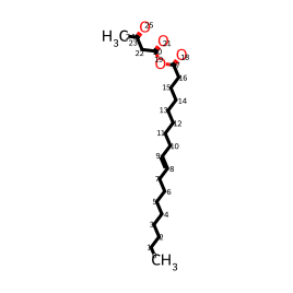 CCCCCCCCC=CCCCCCCCC(=O)OC(=O)CC(C)=O